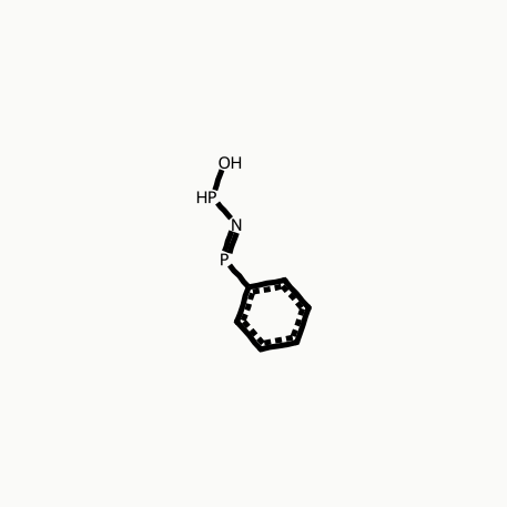 OPN=Pc1ccccc1